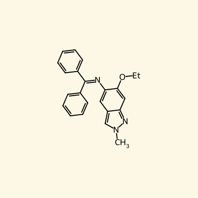 CCOc1cc2nn(C)cc2cc1N=C(c1ccccc1)c1ccccc1